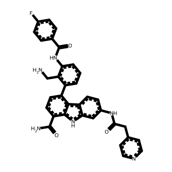 NCc1c(NC(=O)c2ccc(F)cc2)cccc1-c1ccc(C(N)=O)c2[nH]c3cc(NC(=O)Cc4ccncc4)ccc3c12